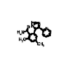 Cc1cc(C)c(C(N)=O)c(-c2[nH]cnc2-c2ccccn2)c1